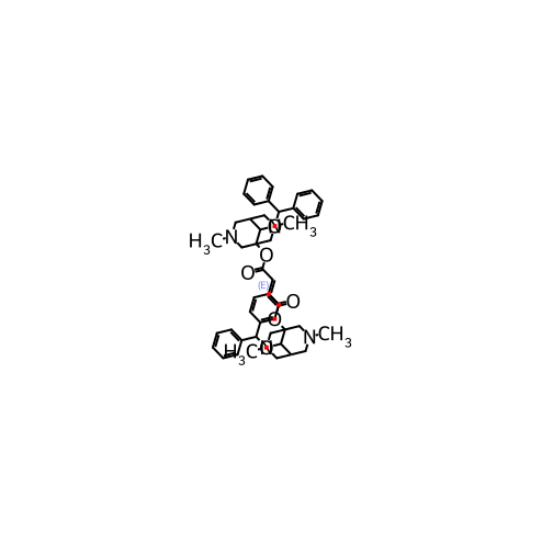 CN1CC2CN(C)CC(OC(=O)/C=C/C(=O)OC34CN(C)CC(CN(C)C3)C4OC(c3ccccc3)c3ccccc3)(C1)C2OC(c1ccccc1)c1ccccc1